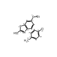 CCOc1ccc2nc(S)sc2c1.Cc1ccc(Cl)cc1